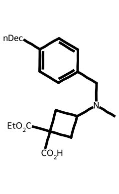 CCCCCCCCCCc1ccc(CN(C)C2CC(C(=O)O)(C(=O)OCC)C2)cc1